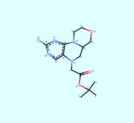 CC(C)(C)OC(=O)CN1CC2COCCN2c2nc(Cl)ncc21